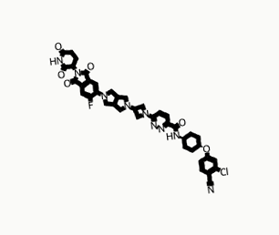 N#Cc1ccc(O[C@H]2CC[C@H](NC(=O)c3ccc(N4CC(N5CC6CN(c7cc8c(cc7F)C(=O)N(C7CCC(=O)NC7=O)C8=O)CC6C5)C4)nn3)CC2)cc1Cl